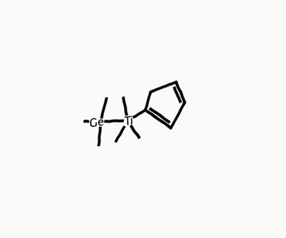 [CH3][Ge]([CH3])([CH3])[Ti]([CH3])([CH3])([CH3])[C]1=CC=CC1